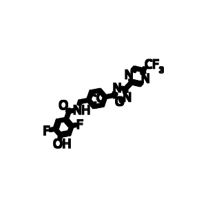 O=C(NCC12CCC(c3nc(-c4cnc(C(F)(F)F)cn4)no3)(CC1)CC2)c1cc(F)c(O)cc1F